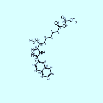 N[C@@H](CCCCCC(=O)OC(=O)C(F)(F)F)c1nnc(-c2ccc3ccccc3c2)[nH]1